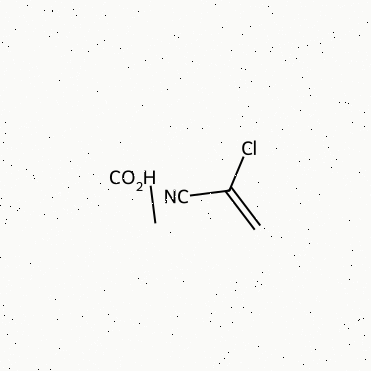 C=C(Cl)C#N.CC(=O)O